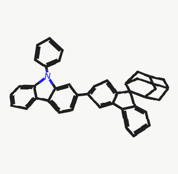 c1ccc(-n2c3ccccc3c3ccc(-c4ccc5c(c4)-c4ccccc4C54C5CC6CC(C5)CC4C6)cc32)cc1